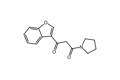 O=C(CC(=O)N1CCCC1)c1coc2ccccc12